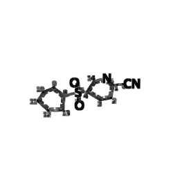 N#Cc1ccc(S(=O)(=O)c2ccccc2)cn1